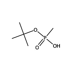 CC(C)(C)OP(C)(=O)O